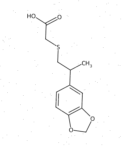 CC(CSCC(=O)O)c1ccc2c(c1)OCO2